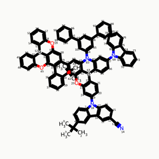 CC(C)(C)c1ccc2c(c1)c1cc(C#N)ccc1n2-c1ccc2c(c1)Oc1cc(-c3cc4c5c(c3-c3ccccc3C(C)(C)C)Oc3ccccc3B5c3ccccc3O4)cc3c1B2c1ccc(-n2c4ccccc4c4ccccc42)cc1N3c1cc(-c2ccccc2)cc(-c2ccccc2)c1